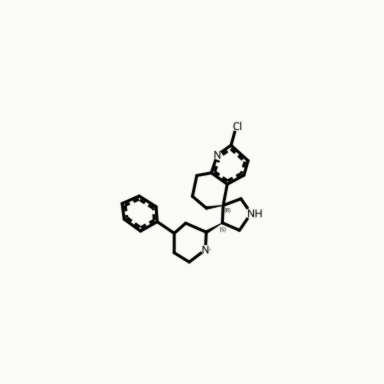 Clc1ccc2c(n1)CCC[C@]21CNC[C@H]1C1CC(c2ccccc2)CC[N]1